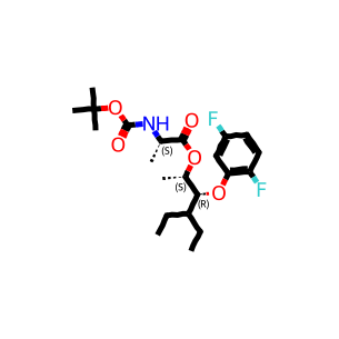 CCC(CC)[C@@H](Oc1cc(F)ccc1F)[C@H](C)OC(=O)[C@H](C)NC(=O)OC(C)(C)C